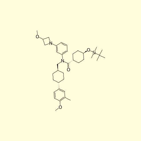 COc1ccc([C@H]2CC[C@H](CN(c3cccc(N4CC(OC)C4)c3)C(=O)[C@H]3CC[C@H](O[Si](C)(C)C(C)(C)C)CC3)CC2)cc1C